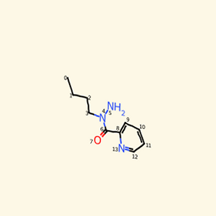 CCCCN(N)C(=O)c1ccccn1